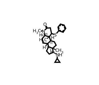 CN1C(=O)CC(Sc2ccccc2)[C@]2(C)[C@H]3CC[C@]4(C)[C@@H](NC5CC5)CC[C@H]4[C@@H]3CC[C@@H]12